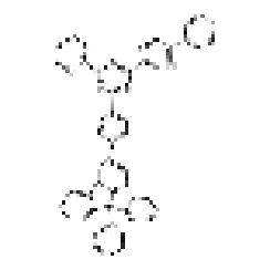 c1ccc(-c2ccc(-c3nc(-c4ccccc4)nc(-c4ccc(-c5ccc6c(c5)-c5ccccc5C6(c5ccccc5)c5ccccc5)cc4)n3)cn2)cc1